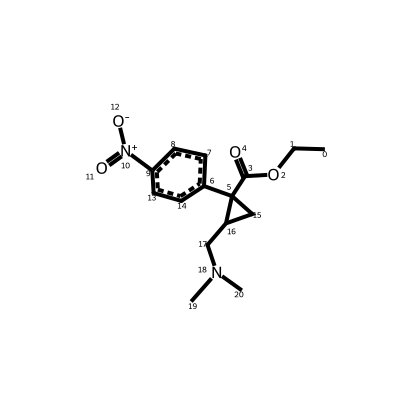 CCOC(=O)C1(c2ccc([N+](=O)[O-])cc2)CC1CN(C)C